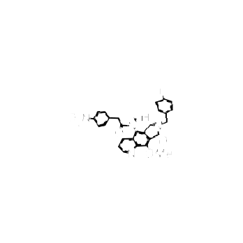 COc1c2c(c(N(C)C(=O)Cc3ccc([N+](=O)[O-])cc3)c3cccnc13)CN(Cc1ccc(F)cc1)C2=O